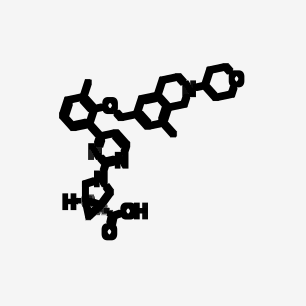 Cc1cc(COc2c(C)cccc2-c2ccnc(N3C[C@@H]4C[C@]4(C(=O)O)C3)n2)cc2c1CN(C1CCOCC1)CC2